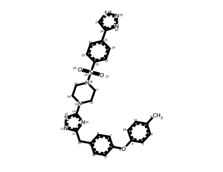 Cc1ccc(Oc2ccc(Cc3nsc(N4CCN(S(=O)(=O)c5ccc(-c6csnn6)cc5)CC4)n3)cc2)cc1